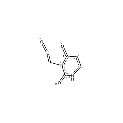 O=C=Cn1c(=O)cc[nH]c1=O